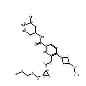 COC1CN(c2ccc(C(=O)NC(CO)CC(C)C)nc2OC[C@H]2C[C@@H]2COCCF)C1